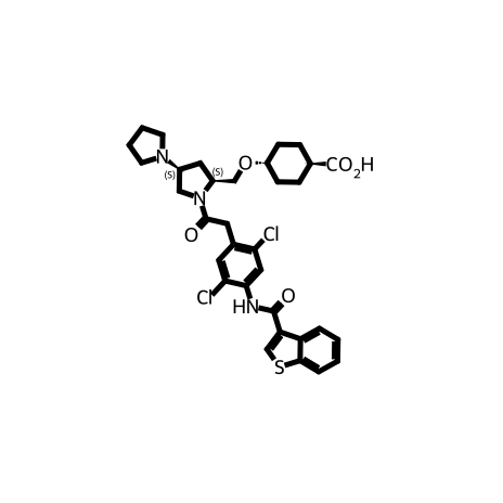 O=C(Nc1cc(Cl)c(CC(=O)N2C[C@@H](N3CCCC3)C[C@H]2CO[C@H]2CC[C@H](C(=O)O)CC2)cc1Cl)c1csc2ccccc12